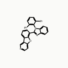 CC(C)c1cccc(C(C)C)c1-n1c(-c2cccc3c2oc2ccncc23)nc2ccccc21